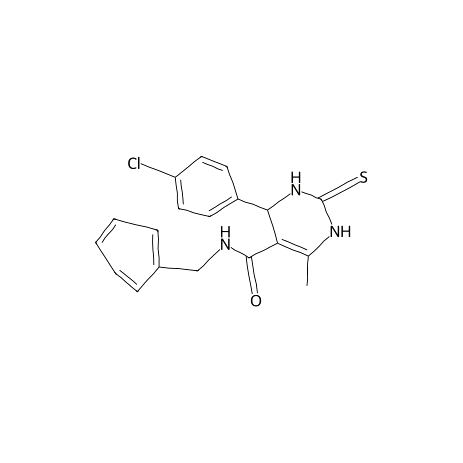 CC1=C(C(=O)NCc2ccccc2)C(c2ccc(Cl)cc2)NC(=S)N1